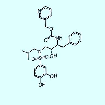 CC(C)CN(C[C@@H](O)[C@H](Cc1ccccc1)NC(=O)OCc1cccnc1)S(=O)(=O)c1ccc(O)c(O)c1